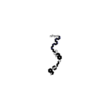 CCCCC/C=C\C/C=C\C/C=C\C/C=C\C/C=C\CCC(=O)Oc1ccc2ccc(OCCCCN3CCN(c4cccc5sccc45)CC3)cc2n1